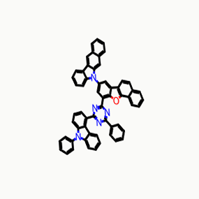 c1ccc(-c2nc(-c3cc(-n4c5ccccc5c5cc6ccccc6cc54)cc4c3oc3c5ccccc5ccc43)nc(-c3cccc4c3c3ccccc3n4-c3ccccc3)n2)cc1